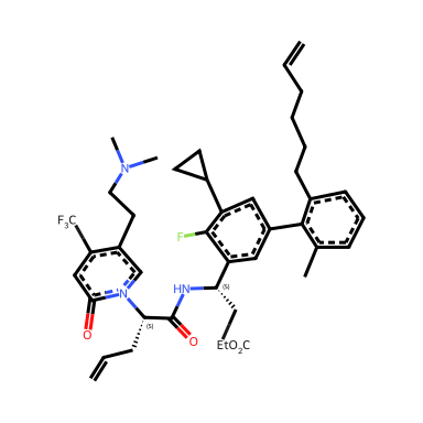 C=CCCCCc1cccc(C)c1-c1cc(C2CC2)c(F)c([C@H](CC(=O)OCC)NC(=O)[C@H](CC=C)n2cc(CCN(C)C)c(C(F)(F)F)cc2=O)c1